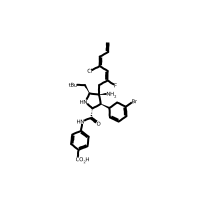 C=C/C=C(Cl)\C=C(\F)C[C@@]1(N)[C@H](CC(C)(C)C)N[C@@H](C(=O)Nc2ccc(C(=O)O)cc2)[C@@H]1C1C=CC=C(Br)C1